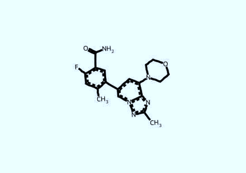 Cc1nc2c(N3CCOCC3)cc(-c3cc(C(N)=O)c(F)cc3C)cn2n1